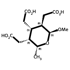 CO[C@H]1O[C@H](C)[C@H](CC(=O)O)[C@H](CC(=O)O)[C@H]1CC(=O)O